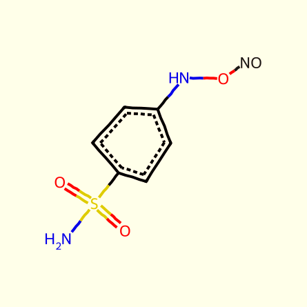 NS(=O)(=O)c1ccc(NON=O)cc1